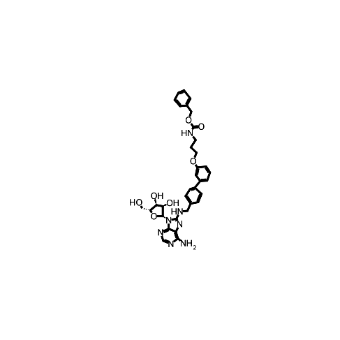 Nc1ncnc2c1nc(NCc1ccc(-c3cccc(OCCCNC(=O)OCc4ccccc4)c3)cc1)n2[C@@H]1O[C@H](CO)[C@@H](O)[C@H]1O